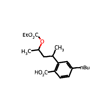 CCCCc1ccc(C(=O)O)c(C(C)CC(C)OC(=O)OCC)c1